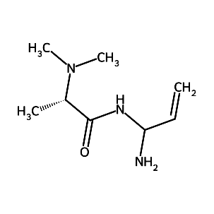 C=CC(N)NC(=O)[C@H](C)N(C)C